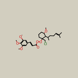 COc1cc(/C=C/C(=O)OOC2(CCl)CCCC(OC)C2C(C)CCC=C(C)C)cc(OC)c1OC